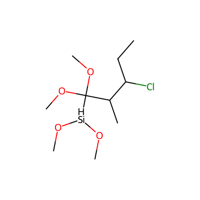 CCC(Cl)C(C)C(OC)(OC)[SiH](OC)OC